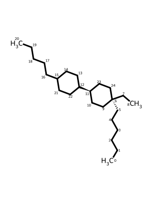 CCCCCC[C@]1(CC)CC[C@@H](C2CCC(CCCCC)CC2)CC1